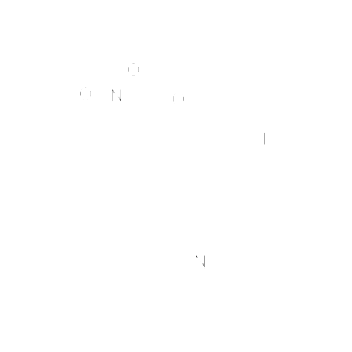 Cc1cc([N+](=O)[O-])c(OC(C)C)cc1-c1cc[n+](C)cc1.[I-]